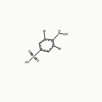 O=S(=O)(O)c1cc(Br)c(NO)c(Br)c1